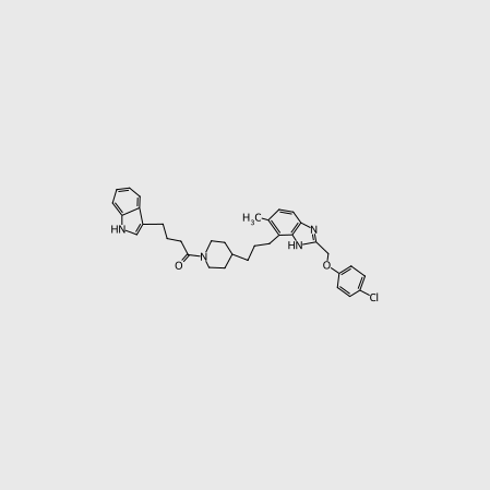 Cc1ccc2nc(COc3ccc(Cl)cc3)[nH]c2c1CCCC1CCN(C(=O)CCCc2c[nH]c3ccccc23)CC1